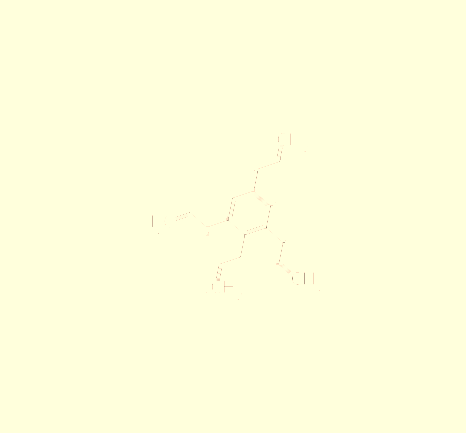 C=CCc1cc(CC=C)c(CC=C)c(CC=C)c1